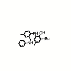 Cc1ccc(Pc2cc(C)cc(C(C)(C)C)c2O)c(CNc2ccccc2)c1